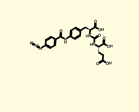 [N-]=[N+]=Nc1ccc(C(=O)Nc2ccc(C[C@H](NC(=O)N[C@@H](CCC(=O)O)C(=O)O)C(=O)O)cc2)cc1